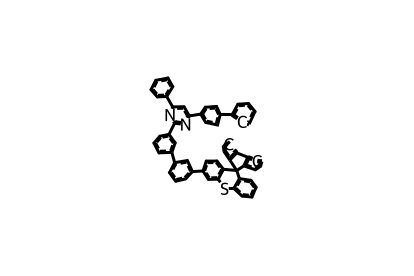 c1ccc(-c2ccc(-c3cc(-c4ccccc4)nc(-c4cccc(-c5cccc(-c6ccc7c(c6)Sc6ccccc6C76c7ccccc7-c7ccccc76)c5)c4)n3)cc2)cc1